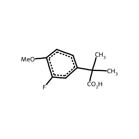 COc1ccc(C(C)(C)C(=O)O)cc1F